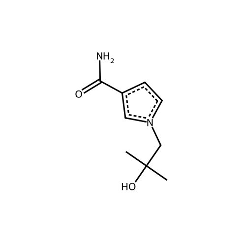 CC(C)(O)Cn1ccc(C(N)=O)c1